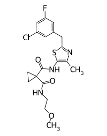 COCCNC(=O)C1(C(=O)Nc2sc(Cc3cc(F)cc(Cl)c3)nc2C)CC1